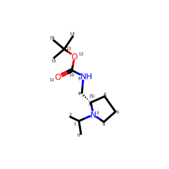 CC(C)N1CCC[C@H]1CNC(=O)OC(C)(C)C